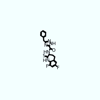 O=C(NC1CCc2cc(F)cc(F)c2NC1=S)c1nc(Cc2ccccc2)n[nH]1